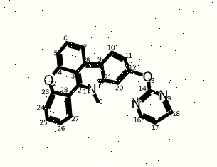 C[n+]1c2c3c(cccc3c3ccc(Oc4ncccn4)cc31)Oc1ccccc1-2